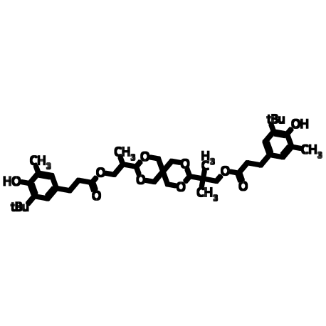 Cc1cc(CCC(=O)OCC(C)C2OCC3(CO2)COC(C(C)(C)COC(=O)CCc2cc(C)c(O)c(C(C)(C)C)c2)OC3)cc(C(C)(C)C)c1O